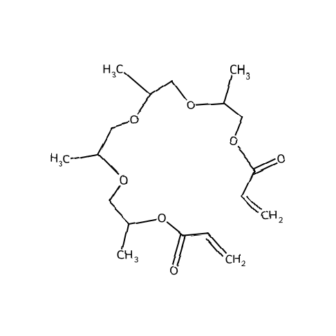 C=CC(=O)OCC(C)OCC(C)OCC(C)OCC(C)OC(=O)C=C